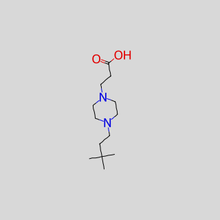 CC(C)(C)CCN1CCN(CCC(=O)O)CC1